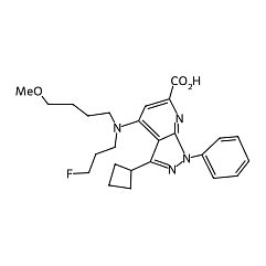 COCCCCN(CCCF)c1cc(C(=O)O)nc2c1c(C1CCC1)nn2-c1ccccc1